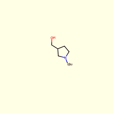 CC(C)(C)N1CCC(CO)C1